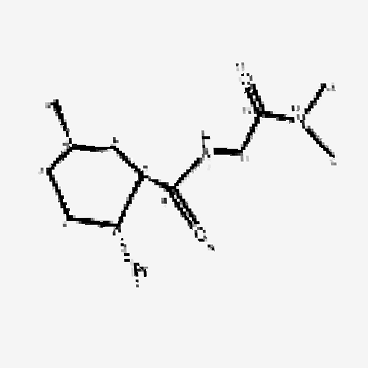 CC(C)[C@@H]1CC[C@@H](C)C[C@H]1C(=O)NCC(=O)N(C)C